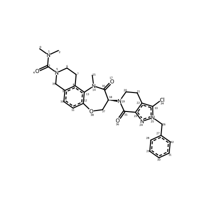 CN(C)C(=O)N1CCc2c(ccc3c2N(C)C(=O)[C@@H](N2CCc4c(nn(Cc5ccccc5)c4Cl)C2=O)CO3)C1